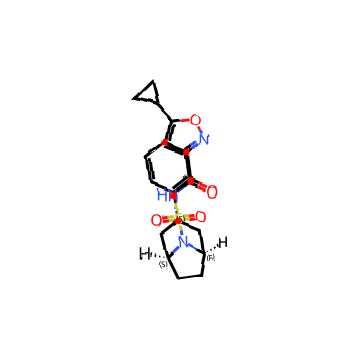 O=C(N[C@@H]1C[C@H]2CC[C@@H](C1)N2S(=O)(=O)c1ccccc1)c1cc(C2CC2)on1